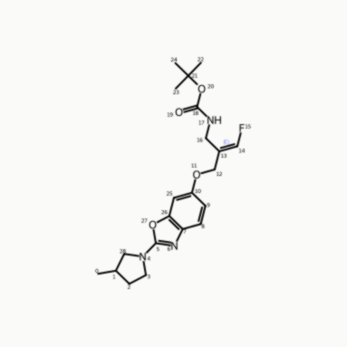 CC1CCN(c2nc3ccc(OC/C(=C/F)CNC(=O)OC(C)(C)C)cc3o2)C1